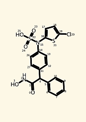 O=C(NO)C(c1ccccc1)c1ccc(N(c2ccc(Cl)s2)S(=O)(=O)O)cc1